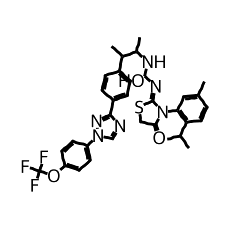 Cc1ccc(C(C)C)c(N2C(=O)CS/C2=N\C(O)NC(C)C(C)c2ccc(-c3ncn(-c4ccc(OC(F)(F)F)cc4)n3)cc2)c1